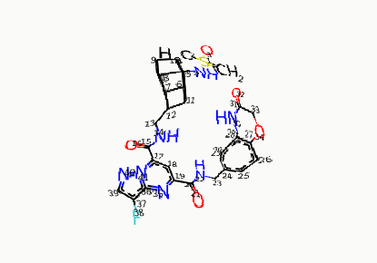 C=S(C)(=O)NC12C3C4C1C1C2C3C41CNC(=O)c1cc(C(=O)NCc2ccc3c(c2)NC(=O)CO3)nc2c(F)cnn12